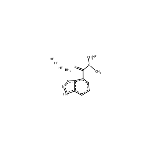 B.CN(C)C(=O)c1cccc2[nH]nnc12.F.F.F.F